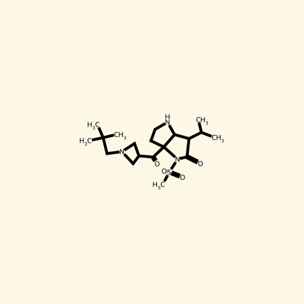 CC(C)C1C(=O)N(S(C)(=O)=O)C2(C(=O)C3CN(CC(C)(C)C)C3)CCNC12